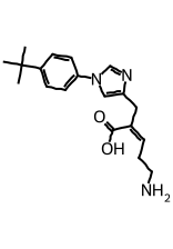 CC(C)(C)c1ccc(-n2cnc(C/C(=C/CCN)C(=O)O)c2)cc1